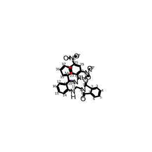 O=C1c2ccccc2C(=O)N1CNc1ccccc1/C(=N/Nc1ccc([N+](=O)[O-])cc1[N+](=O)[O-])c1ccccc1